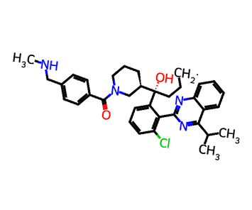 [CH2]CC[C@@](O)(c1cccc(Cl)c1-c1nc(C(C)C)c2ccccc2n1)[C@@H]1CCCN(C(=O)c2ccc(CNC)cc2)C1